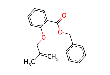 C=C(C)COc1ccccc1C(=O)OCc1ccccc1